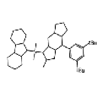 CC1CC2C(CC3CCCC3C2c2cc(C(C)(C)C)cc(C(C)(C)C)c2)C1S(C)(C)C1C2CCCCC2C2CCCCC21